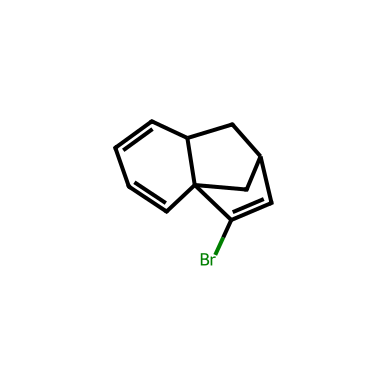 BrC1=CC2CC3C=CC=CC13C2